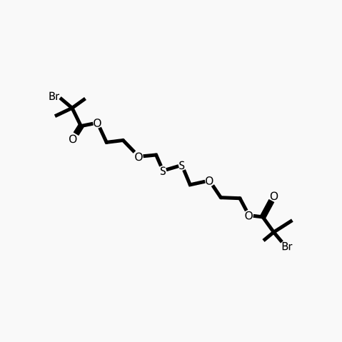 CC(C)(Br)C(=O)OCCOCSSCOCCOC(=O)C(C)(C)Br